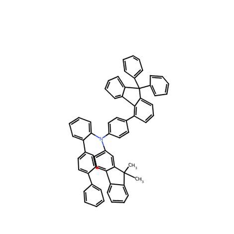 CC1(C)c2ccccc2-c2ccc(N(c3ccc(-c4cccc5c4-c4ccccc4C5(c4ccccc4)c4ccccc4)cc3)c3ccccc3-c3ccc(-c4ccccc4)cc3)cc21